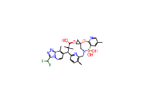 Cc1cnc2c(c1)S(O)(O)N(Cc1nc(C(c3ccn4c(C(F)F)nnc4c3C)C(C)(C)C(=O)O)ccc1C)CC1(CC1)O2